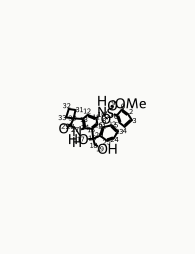 COc1ccccc1S(=O)(=O)Nc1cc2c(c(C(O)(CO)c3ccccc3)c1)NC(=O)C21CCC1